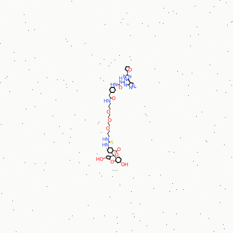 Cn1cc2c(nc(NC(=O)Nc3ccc(CC(=O)NCCCOCCOCCOCCCNC(=S)Nc4ccc5c(c4)C(=O)OC54c5ccc(O)cc5Oc5cc(O)ccc54)cc3)n3nc(-c4ccco4)nc23)n1